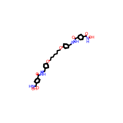 O=C(NO)c1ccc(C(=O)N/N=C/c2ccc(OCCCCCCCOc3ccc(/C=N/NC(=O)c4ccc(C(=O)NO)cc4)cc3)cc2)cc1